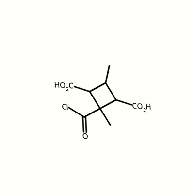 CC1C(C(=O)O)C(C)(C(=O)Cl)C1C(=O)O